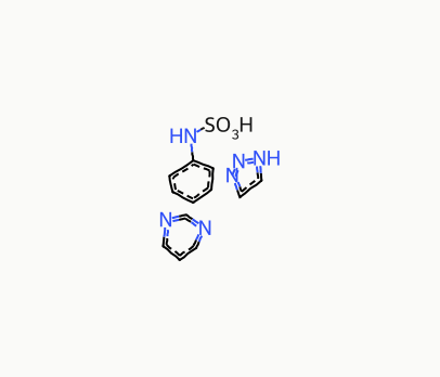 O=S(=O)(O)Nc1ccccc1.c1c[nH]nn1.c1cncnc1